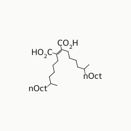 CCCCCCCCC(C)CCCCC(C(=O)O)=C(CCCCC(C)CCCCCCCC)C(=O)O